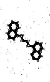 c1ccc2c(ON=NOc3cccc4ccccc34)cccc2c1